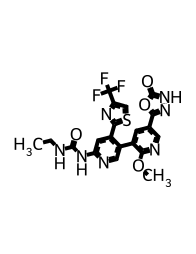 CCNC(=O)Nc1cc(-c2nc(C(F)(F)F)cs2)c(-c2cc(-c3n[nH]c(=O)o3)cnc2OC)cn1